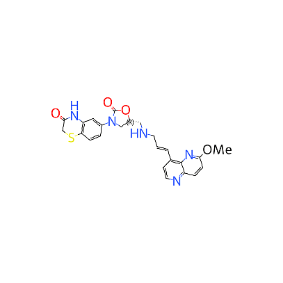 COc1ccc2nccc(C=CCNC[C@@H]3CN(c4ccc5c(c4)NC(=O)CS5)C(=O)O3)c2n1